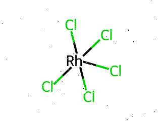 [Cl][Rh]([Cl])([Cl])([Cl])[Cl]